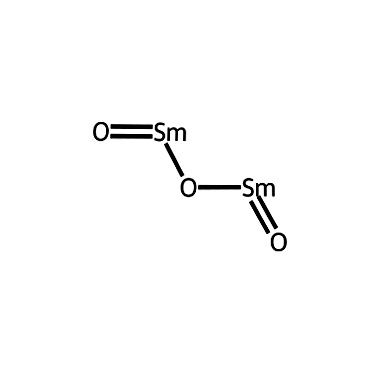 [O]=[Sm][O][Sm]=[O]